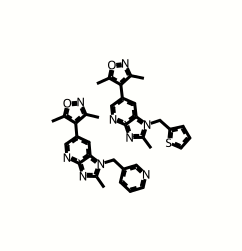 Cc1noc(C)c1-c1cnc2nc(C)n(Cc3cccnc3)c2c1.Cc1noc(C)c1-c1cnc2nc(C)n(Cc3cccs3)c2c1